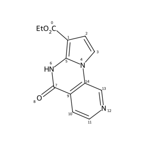 CCOC(=O)c1ccn2c1[nH]c(=O)c1ccncc12